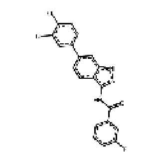 O=C(Nc1n[nH]c2cc(-c3ccc(Cl)c(Cl)c3)ccc12)c1cccc(F)c1